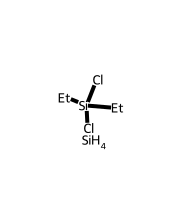 CC[Si](Cl)(Cl)CC.[SiH4]